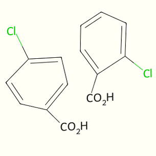 O=C(O)c1ccc(Cl)cc1.O=C(O)c1ccccc1Cl